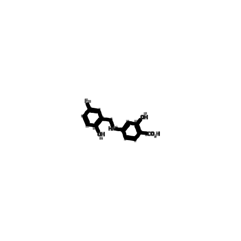 O=C(O)c1ccc(NCc2cc(F)ccc2O)cc1O